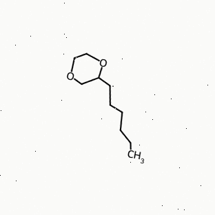 CCCCC[CH]C1COCCO1